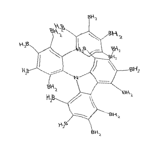 Bc1cc(-c2c(B)c(B)c(B)c(B)c2-n2c3c(B)c(B)c(B)c(B)c3c3c(B)c(B)c(B)c(B)c32)c(B)c(B)c1B